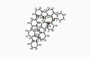 c1ccc(-n2c3ccccc3c3ccc4c5cccnc5n(-c5cc([Si](c6ccccc6)(c6ccccc6)c6cccc7c6sc6ccccc67)ccn5)c4c32)cc1